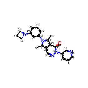 Cc1c2cnn(-c3cccnc3)c(=O)c2c(C)n1-c1cccc(N2CCC2)c1